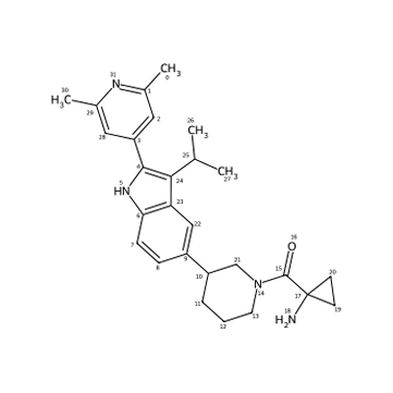 Cc1cc(-c2[nH]c3ccc(C4CCCN(C(=O)C5(N)CC5)C4)cc3c2C(C)C)cc(C)n1